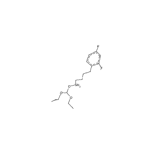 CCOC(OCC)O[SiH2]CCCCc1ccc(F)cc1F